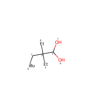 CCC(C)CC(CC)(CC)C(O)O